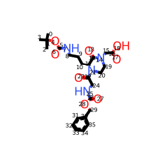 CC(C)(C)OC(=O)NCCC[C@H]1C(=O)N(CC(=O)O)CCN1C(=O)CNC(=O)OCc1ccccc1